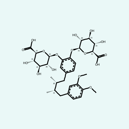 COc1ccc(C[C@H](C)[C@H](C)Cc2ccc(O[C@@H]3O[C@H](C(=O)O)[C@@H](O)[C@H](O)[C@H]3O)c(O[C@@H]3O[C@H](C(=O)O)[C@@H](O)[C@H](O)[C@H]3O)c2)cc1OC